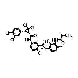 C=C(F)C(=O)Nc1c(F)ccc(NC(=O)c2cc(NC(=O)[C@H]3[C@H](c4ccc(Cl)c(Cl)c4)C3(Cl)Cl)ccc2Cl)c1F